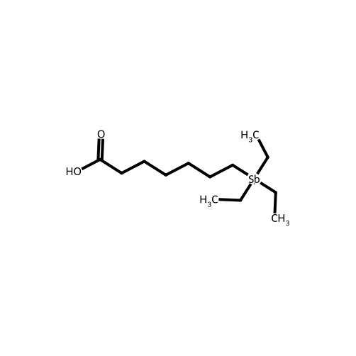 C[CH2][Sb]([CH2]C)([CH2]C)[CH2]CCCCCC(=O)O